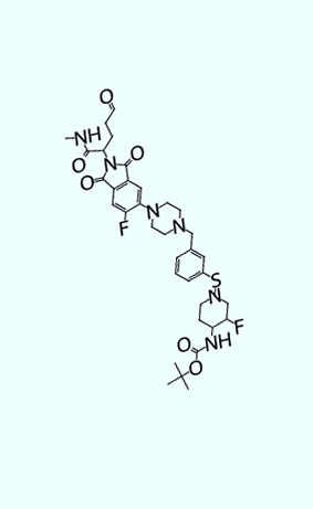 CNC(=O)C(CCC=O)N1C(=O)c2cc(F)c(N3CCN(Cc4cccc(SN5CCC(NC(=O)OC(C)(C)C)C(F)C5)c4)CC3)cc2C1=O